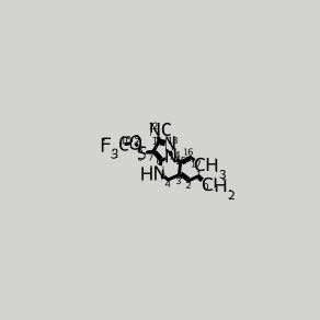 C=C/C=C1/CNc2c(SOC(F)(F)F)c(C#N)nn2/C1=C/C